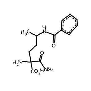 CCCCC(=O)C(N)(CCC(C)NC(=O)c1ccccc1)C(=O)O